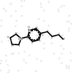 CCCCc1ccc(N2CCCC2)nc1